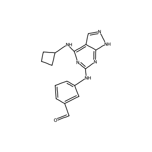 O=Cc1cccc(Nc2nc(NC3CCC3)c3cn[nH]c3n2)c1